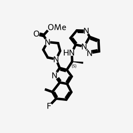 COC(=O)N1CCN(c2nc3c(C)c(F)ccc3cc2[C@H](C)Nc2ccnc3ccnn23)CC1